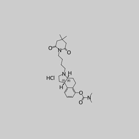 CN(C)C(=O)Oc1cccc2c1CC[C@@H]1[C@H]2CCN1CCCCN1C(=O)CC(C)(C)CC1=O.Cl